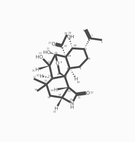 C=C(C)[C@@H]1CC[C@H]2[C@@]34CO[C@@](O)([C@@H](O)[C@@H]3C(C)(C)C[C@H]3NC(=O)[C@H]34)[C@@]2(C(C)=O)[C@@H]1O